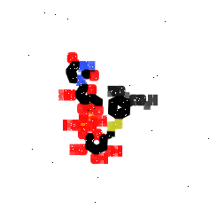 O=C(O)c1cc(SSC[C@H]2OC(OP(=O)(O)OP(=O)(O)OCC3OC(n4ccc(=O)[nH]c4=O)C(O)C3O)[C@H](O)[C@@H](O)[C@H]2O)ccc1[N+](=O)[O-]